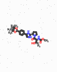 COC(=O)N[C@H](C(=O)N1CCC[C@H]1C1NC=C(c2ccc(B3OC(C)(C)C(C)(C)O3)cc2)N1)[C@@H](C)O